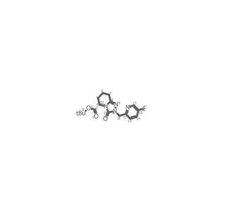 CC(C)(C)OC(=O)[C@@H]1CCCc2nn(Cc3ccc(F)cn3)c(=O)n21